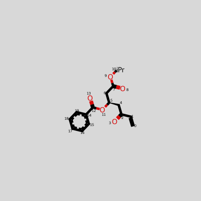 C=CC(=O)C[C@H](CC(=O)OC(C)C)OC(=O)c1ccccc1